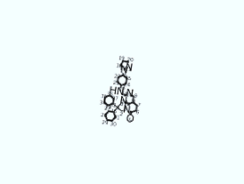 CC(Cn1c(=O)ccc2cnc(Nc3ccc(-n4cccn4)cc3)nc21)(c1ccccc1)c1ccccc1